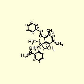 CCC(CC)(Pc1ccccc1N(C)C)c1cc(C)cc(C)c1OCc1ccccc1